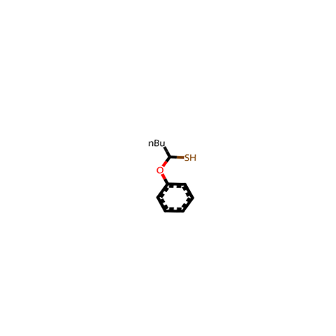 CCCCC(S)Oc1ccccc1